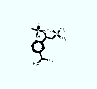 CC(C)c1cccc(C(C[N+](C)(C)C)OP([O-])(=S)S)c1